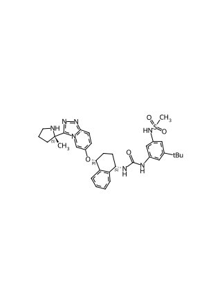 CC(C)(C)c1cc(NC(=O)N[C@H]2CC[C@@H](Oc3ccc4nnc([C@]5(C)CCCN5)n4c3)c3ccccc32)cc(NS(C)(=O)=O)c1